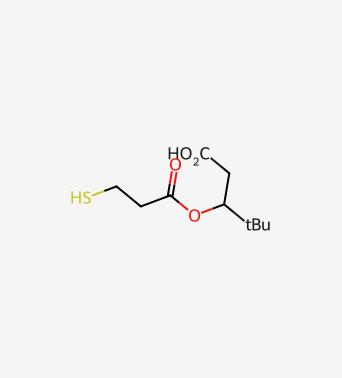 CC(C)(C)C(CC(=O)O)OC(=O)CCS